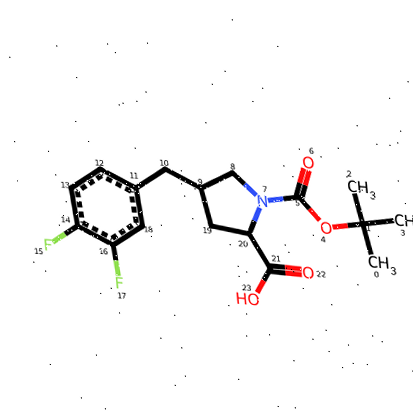 CC(C)(C)OC(=O)N1CC(Cc2ccc(F)c(F)c2)CC1C(=O)O